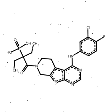 CCC(CC)(C(=O)N1CCc2c(sc3ncnc(Nc4ccc(F)c(Cl)c4)c23)C1)P(=O)(O)O